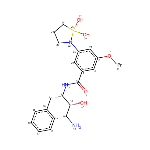 CC(C)Oc1cc(C(=O)N[C@@H](Cc2ccccc2)[C@H](O)CN)cc(N2CCCS2(O)O)c1